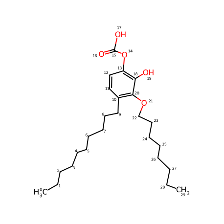 CCCCCCCCCCc1ccc(OC(=O)O)c(O)c1OCCCCCCCC